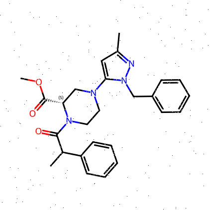 COC(=O)[C@@H]1CN(c2cc(C)nn2Cc2ccccc2)CCN1C(=O)C(C)c1ccccc1